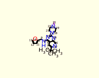 CC(C)(C)c1cc2c(NCc3ccco3)nc(N3CCN(I)CC3)nc2cn1